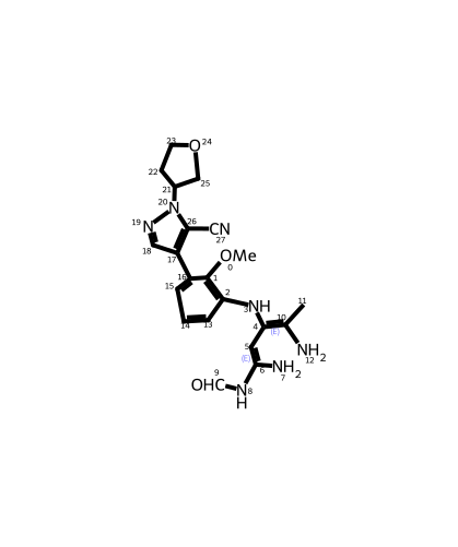 COc1c(NC(/C=C(\N)NC=O)=C(\C)N)cccc1-c1cnn(C2CCOC2)c1C#N